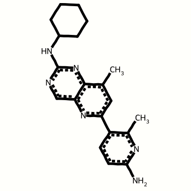 Cc1nc(N)ccc1-c1cc(C)c2nc(NC3CCCCC3)ncc2n1